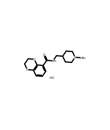 CCCCN1CCC(CNC(=O)c2cccc3c2OCCO3)CC1.Cl